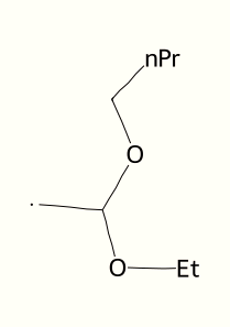 [CH2]COC([CH2])OCCCC